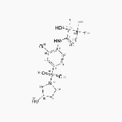 C[C@@](O)(C(=O)Nc1ccc(S(=O)(=O)N2CCC(O)C2)cc1Cl)C(F)(F)F